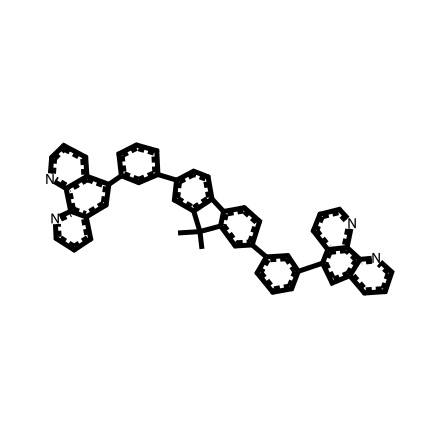 CC1(C)c2cc(-c3cccc(-c4cc5cccnc5c5ncccc45)c3)ccc2-c2ccc(-c3cccc(-c4cc5cccnc5c5ncccc45)c3)cc21